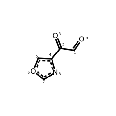 O=CC(=O)c1cocn1